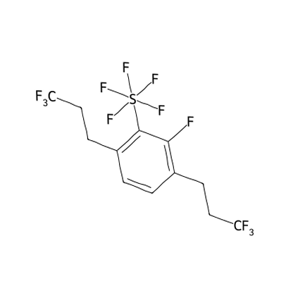 Fc1c(CCC(F)(F)F)ccc(CCC(F)(F)F)c1S(F)(F)(F)(F)F